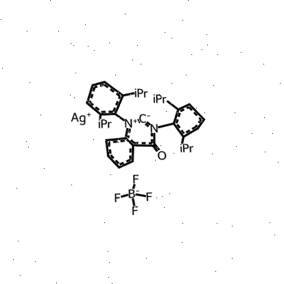 CC(C)c1cccc(C(C)C)c1-n1[c-][n+](-c2c(C(C)C)cccc2C(C)C)c2ccccc2c1=O.F[B-](F)(F)F.[Ag+]